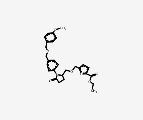 CCOC(=O)c1ccc(COCC2CCC(=O)N2c2ccc(COCc3ccc(OC)cc3)cc2)o1